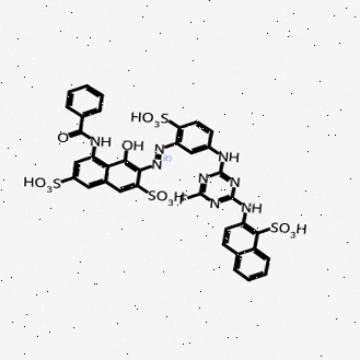 O=C(Nc1cc(S(=O)(=O)O)cc2cc(S(=O)(=O)O)c(/N=N/c3cc(Nc4nc(F)nc(Nc5ccc6ccccc6c5S(=O)(=O)O)n4)ccc3S(=O)(=O)O)c(O)c12)c1ccccc1